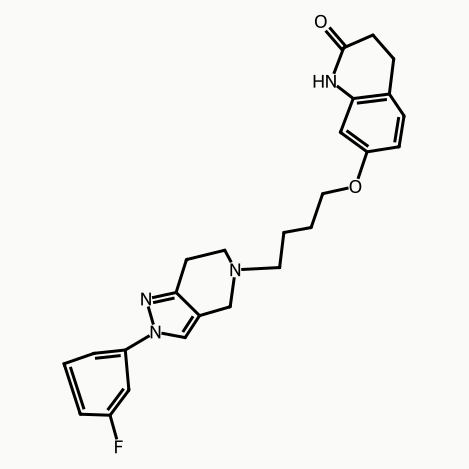 O=C1CCc2ccc(OCCCCN3CCc4nn(-c5cccc(F)c5)cc4C3)cc2N1